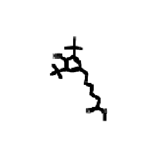 COC(=O)CCCCCc1cc(C(C)(C)C)c(O)c(C(C)(C)C)c1